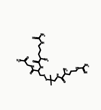 CC(C)(CNC(=O)C(N)CCCNC(=N)N)SSCC(NC(=O)C(N)CCCNC(=N)N)C(=O)NCC(N)=O